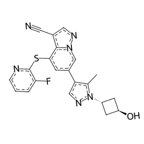 Cc1c(-c2cc(Sc3ncccc3F)c3c(C#N)cnn3c2)cnn1[C@H]1C[C@H](O)C1